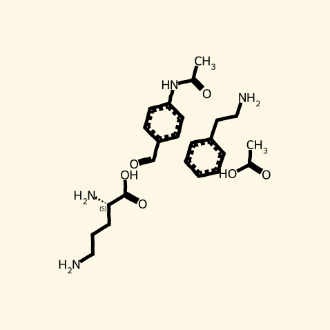 CC(=O)Nc1ccc(C=O)cc1.CC(=O)O.NCCC[C@H](N)C(=O)O.NCCc1ccccc1